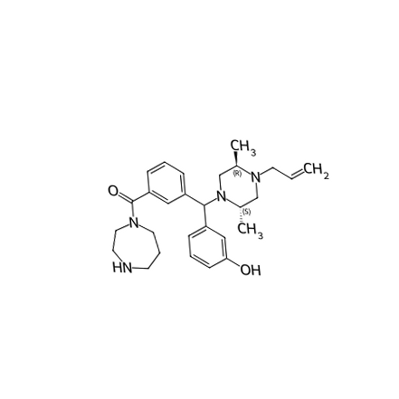 C=CCN1C[C@H](C)N(C(c2cccc(O)c2)c2cccc(C(=O)N3CCCNCC3)c2)C[C@H]1C